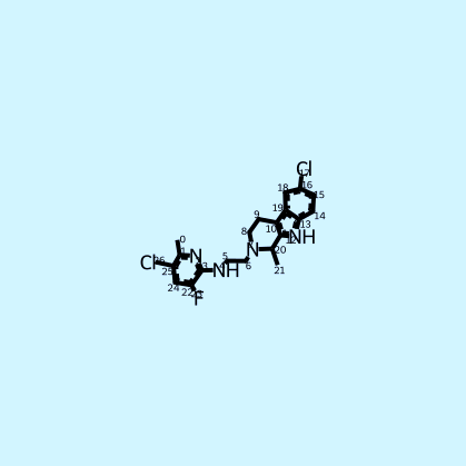 Cc1nc(NCCN2CCc3c([nH]c4ccc(Cl)cc34)C2C)c(F)cc1Cl